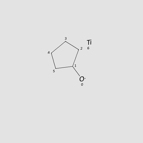 [O]C1CCCC1.[Ti]